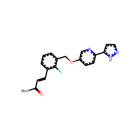 CC(C)COC(=O)/C=C/c1cccc(COc2ccc(-c3ccn[nH]3)nc2)c1F